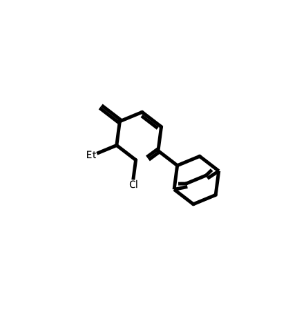 C=C(/C=C\C(=C)C1CC2=CC=C1CC2)C(CC)CCl